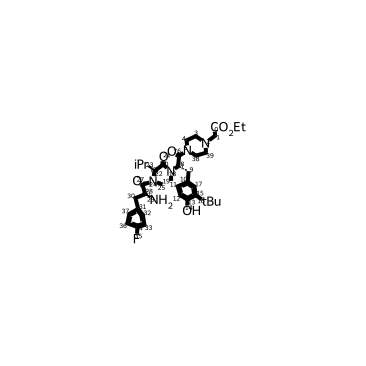 CCOC(=O)CN1CCN(C(=O)[C@H](Cc2ccc(O)c(C(C)(C)C)c2)N(C)C(=O)[C@H](C(C)C)N(C)C(=O)[C@@H](N)Cc2ccc(F)cc2)CC1